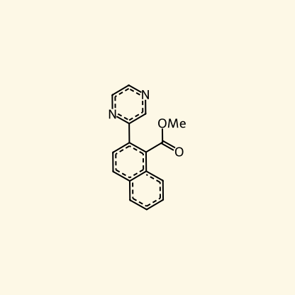 COC(=O)c1c(-c2cnccn2)ccc2ccccc12